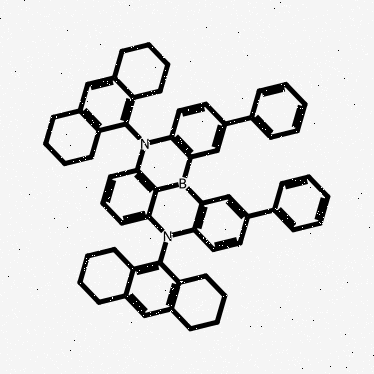 c1ccc(-c2ccc3c(c2)B2c4cc(-c5ccccc5)ccc4N(c4c5c(cc6c4CCCC6)CCCC5)c4cccc(c42)N3c2c3c(cc4c2CCCC4)CCCC3)cc1